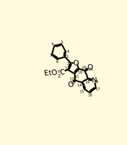 CCOC(=O)c1c(-c2ccccc2)oc2c1C(=O)c1cccnc1C2=O